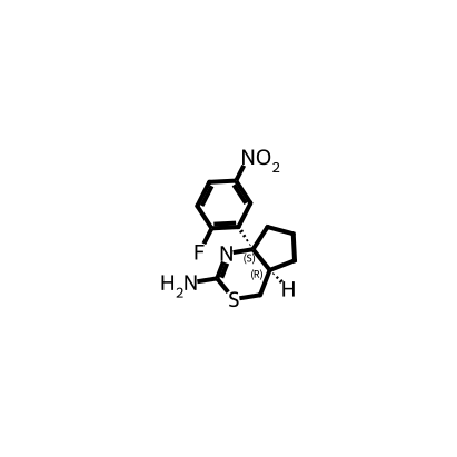 NC1=N[C@@]2(c3cc([N+](=O)[O-])ccc3F)CCC[C@H]2CS1